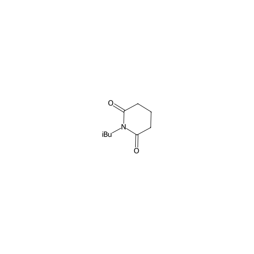 CCC(C)N1C(=O)CCCC1=O